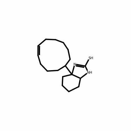 SC1=NC2(C3CCC/C=C\CCCCC3)CCCCC2N1